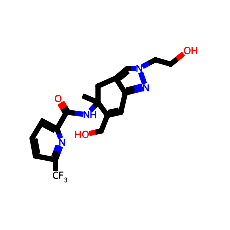 CC1(NC(=O)c2cccc(C(F)(F)F)n2)Cc2cn(CCO)nc2C=C1CO